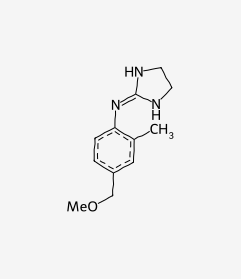 COCc1ccc(N=C2NCCN2)c(C)c1